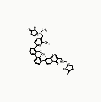 Cc1nc(-c2cccc(-c3cccc(-c4ccn5c(=O)c(CNC[C@@H]6CCC(=O)N6)cnc5c4)c3C)c2Cl)ccc1CN(C)[C@H]1CCC(=O)N1